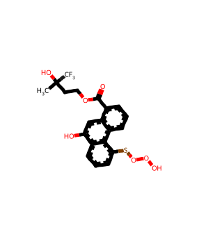 CC(O)(CCOC(=O)c1cccc2c1cc(O)c1cccc(SOOO)c12)C(F)(F)F